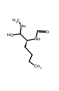 CCCC[C@H](NC=O)C(O)NC